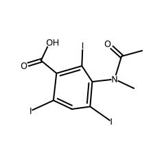 CC(=O)N(C)c1c(I)cc(I)c(C(=O)O)c1I